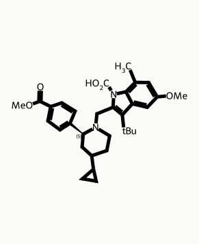 COC(=O)c1ccc([C@@H]2CC(C3CC3)CCN2Cc2c(C(C)(C)C)c3cc(OC)cc(C)c3n2C(=O)O)cc1